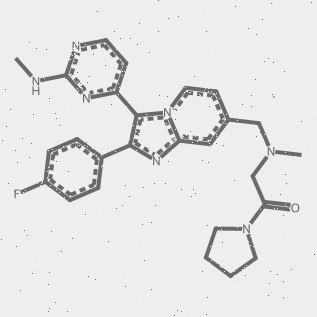 CNc1nccc(-c2c(-c3ccc(F)cc3)nc3cc(CN(C)CC(=O)N4CCCC4)ccn23)n1